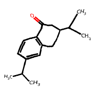 CC(C)c1ccc2c(c1)CC(C(C)C)CC2=O